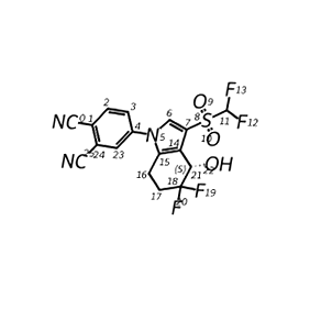 N#Cc1ccc(-n2cc(S(=O)(=O)C(F)F)c3c2CCC(F)(F)[C@H]3O)cc1C#N